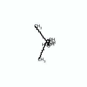 CCCCCCCCCCCCCCc1cc(O)c(O)c(P(=O)(O)O)c1CCCCCCCCCCCCCC